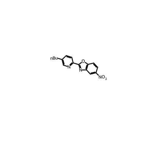 CCCCc1ccc(-c2nc3cc([N+](=O)[O-])ccc3o2)nc1